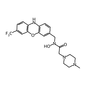 CN1CCN(CC(=O)N(O)Cc2ccc3c(c2)Oc2cc(C(F)(F)F)ccc2N3)CC1